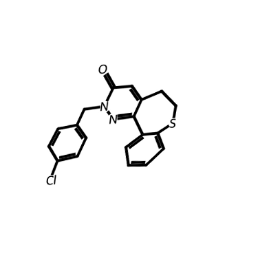 O=c1cc2c(nn1Cc1ccc(Cl)cc1)-c1ccccc1SCC2